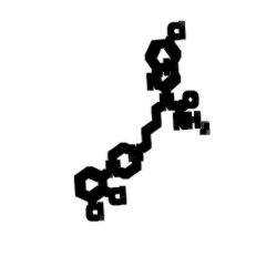 NC(=O)N(CCCCN1CCN(c2cccc(Cl)c2Cl)CC1)c1cn2cc(Cl)ccc2n1